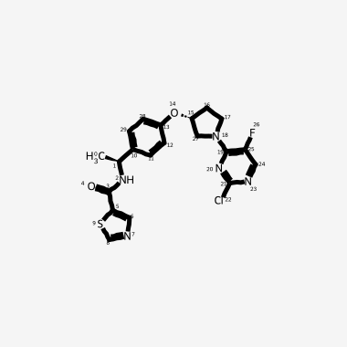 C[C@H](NC(=O)c1cncs1)c1ccc(O[C@@H]2CCN(c3nc(Cl)ncc3F)C2)cc1